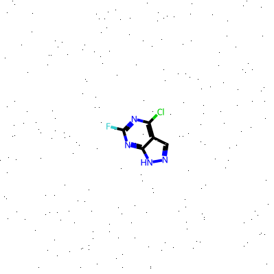 Fc1nc(Cl)c2cn[nH]c2n1